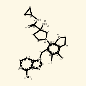 Nc1ncnc2c1ncn2Cc1c(I)c(F)c2c(c1N1CCC(N)(C(=O)NC3CC3)C1)OCC2